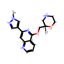 CC[C@@]1(COc2nc(-c3cnn(C(C)C)c3)cc3ncccc23)CNCCO1